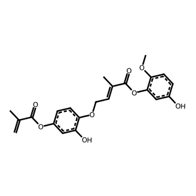 C=C(C)C(=O)Oc1ccc(OC/C=C(\C)C(=O)Oc2cc(O)ccc2OC)c(O)c1